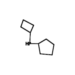 C1CCC(PC2CCC2)C1